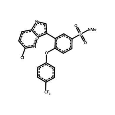 CNS(=O)(=O)c1ccc(Oc2ccc(C(F)(F)F)cc2)c(-c2cnc3ccc(Cl)nn23)c1